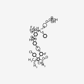 Cc1c(C(C)OC=O)c(-c2cc(F)cc(N3CCN(c4ccc(NS(=O)(=O)c5ccc(N[C@H](CCN6CCC(OCOP(=O)(O)O)CC6)CSc6ccccc6)c(S(=O)(=O)C(F)(F)F)c5)cc4)CC3)c2)c(-c2ccc(Cl)cc2)n1C(C)C